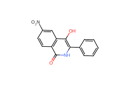 O=c1[nH]c(-c2ccccc2)c(O)c2cc([N+](=O)[O-])ccc12